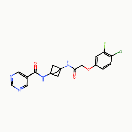 O=C(COc1ccc(Cl)c(F)c1)NC12CC(NC(=O)c3cncnc3)(C1)C2